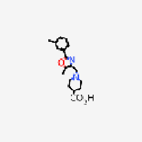 Cc1cccc(-c2nc(CN3CCC(C(=O)O)CC3)c(C)o2)c1